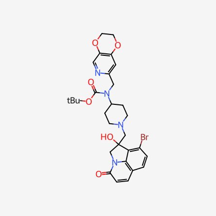 CC(C)(C)OC(=O)N(Cc1cc2c(cn1)OCCO2)C1CCN(CC2(O)Cn3c(=O)ccc4ccc(Br)c2c43)CC1